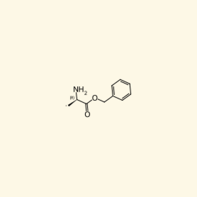 [CH2][C@@H](N)C(=O)OCc1ccccc1